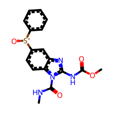 CNC(=O)n1c(NC(=O)OC)nc2cc([S+]([O-])c3ccccc3)ccc21